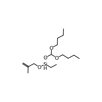 C=C(C)CO[SiH](CC)OC(OCCCC)OCCCC